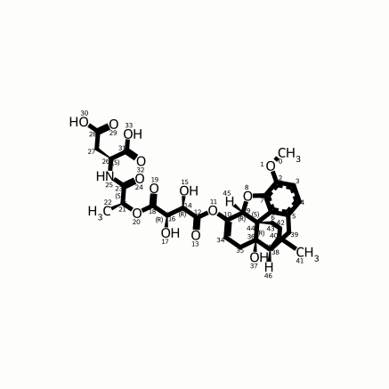 COc1ccc2c3c1O[C@H]1C(OC(=O)[C@H](O)[C@@H](O)C(=O)O[C@@H](C)C(=O)N[C@@H](CC(=O)O)C(=O)O)=CC[C@@]4(O)[C@@H](C2)C(C)CC[C@]314